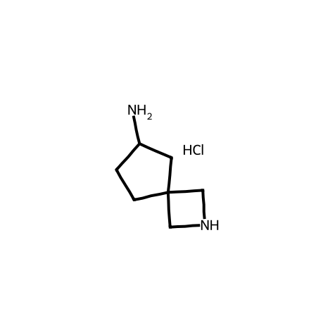 Cl.NC1CCC2(CNC2)C1